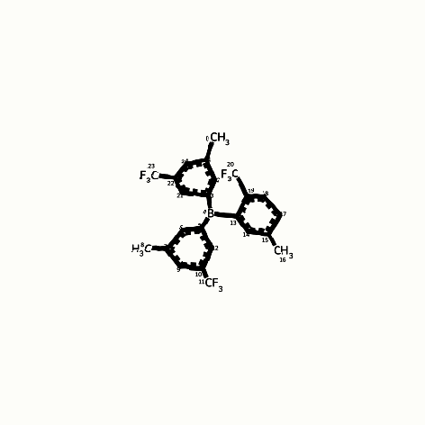 Cc1cc(B(c2cc(C)cc(C(F)(F)F)c2)c2cc(C)ccc2C(F)(F)F)cc(C(F)(F)F)c1